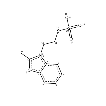 Cc1sc2ccccc2[n+]1CCSS(=O)(=O)O